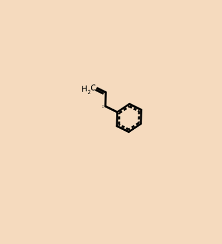 C=C[C]c1ccccc1